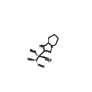 CCC[C@@H](C)[C@@H](O)[C@](NC)(C(=O)O)C1=CN2CCCCC2N1